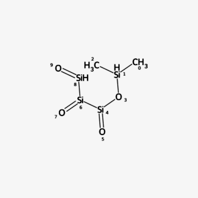 C[SiH](C)O[Si](=O)[Si](=O)[SiH]=O